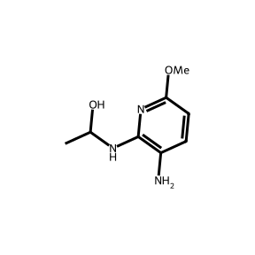 COc1ccc(N)c(NC(C)O)n1